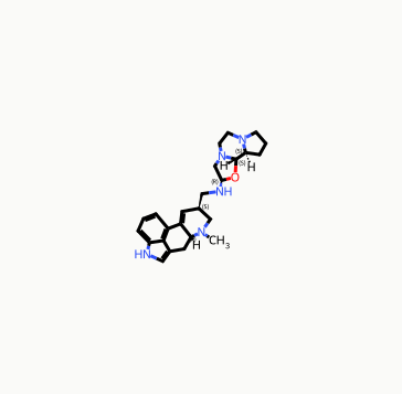 CN1C[C@H](CN[C@H]2CN3CCN4CCC[C@H]4[C@@H]3O2)C=C2c3cccc4[nH]cc(c34)C[C@H]21